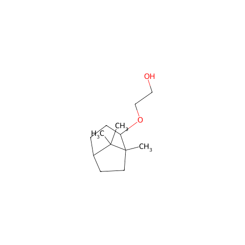 CC1(C)C2CCC(OCCO)C1(C)CC2